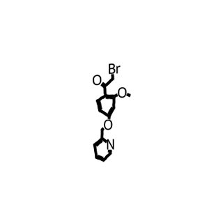 COc1cc(OCc2ccccn2)ccc1C(=O)CBr